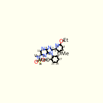 CCOc1cccc(-c2nc3ncc(N(C)S(C)(=O)=O)nc3n2-c2c(OC)cccc2OC)n1